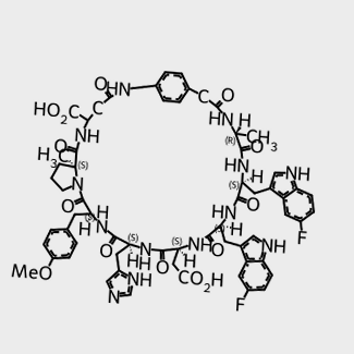 COc1ccc(C[C@@H]2NC(=O)[C@H](Cc3cnc[nH]3)NC(=O)[C@H](CC(=O)O)NC(=O)[C@H](Cc3c[nH]c4ccc(F)cc34)NC(=O)[C@H](Cc3c[nH]c4ccc(F)cc34)NC(=O)[C@@H](C)NC(=O)Cc3ccc(cc3)NC(=O)CC(C(=O)O)NC(=O)[C@]3(C)CCCN3C2=O)cc1